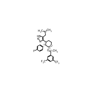 C[C@@H](O[C@H]1OCCN(c2nn[nH]c2CN(C)C)[C@H]1c1ccc(F)cc1)c1cc(C(F)(F)F)cc(C(F)(F)F)c1